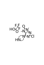 Cn1c(=O)n(C)c2c(N3CCNCC3)nc(Cl)nc21.O=C(O)C(F)(F)F